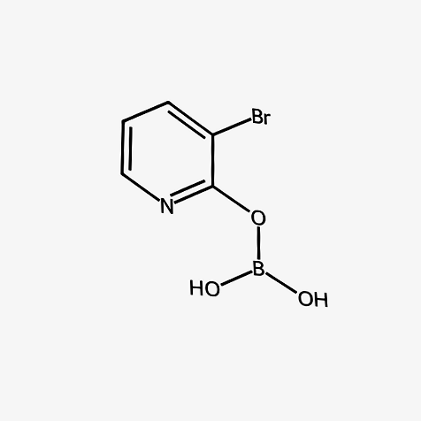 OB(O)Oc1ncccc1Br